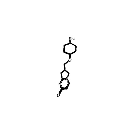 CC(C)(C)C1CCC(OCC2Cc3nc(=O)ccn3C2)CC1